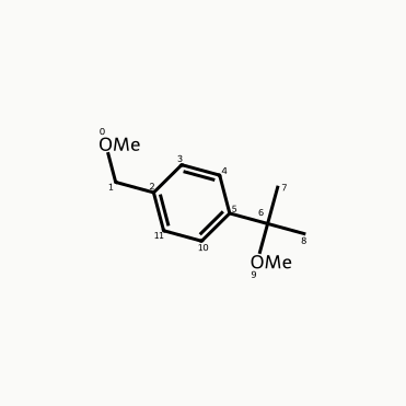 COCc1ccc(C(C)(C)OC)cc1